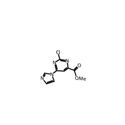 COC(=O)c1cc(-n2ccnc2)nc(Cl)n1